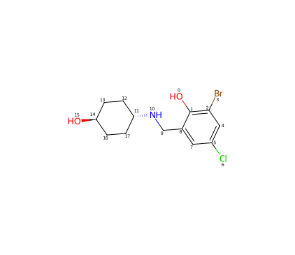 Oc1c(Br)cc(Cl)cc1CN[C@H]1CC[C@H](O)CC1